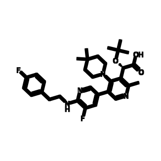 Cc1ncc(-c2cnc(NCCc3ccc(F)cc3)c(F)c2)c(N2CCC(C)(C)CC2)c1[C@H](OC(C)(C)C)C(=O)O